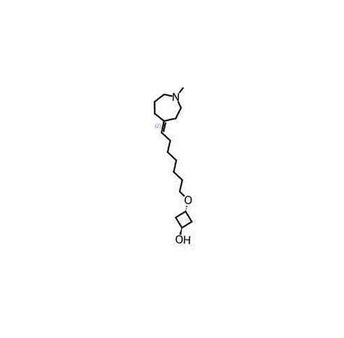 CN1CCC/C(=C/CCCCCCO[C@H]2C[C@H](O)C2)CC1